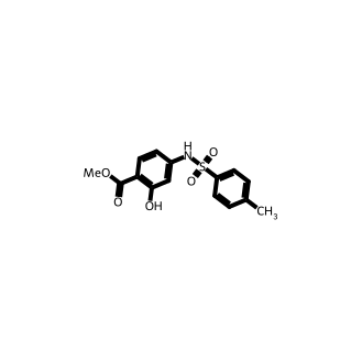 COC(=O)c1ccc(NS(=O)(=O)c2ccc(C)cc2)cc1O